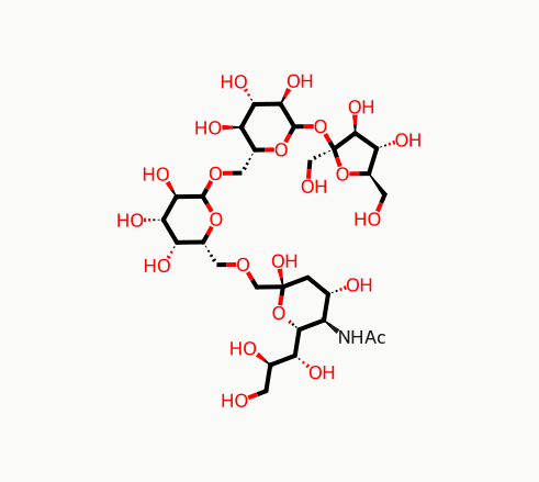 CC(=O)N[C@H]1[C@H]([C@H](O)[C@H](O)CO)O[C@](O)(COC[C@H]2OC(OC[C@H]3OC(O[C@]4(CO)O[C@H](CO)[C@@H](O)[C@@H]4O)[C@H](O)[C@@H](O)[C@@H]3O)[C@H](O)[C@@H](O)[C@H]2O)C[C@@H]1O